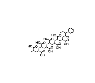 CCC(C(=O)CC(CC(CC(CC(CC(CC(CC(CC(C)C(=O)O)C(=O)O)C(=O)O)C(=O)O)C(=O)O)C(=O)O)C(=O)O)C(=O)O)c1ccccc1